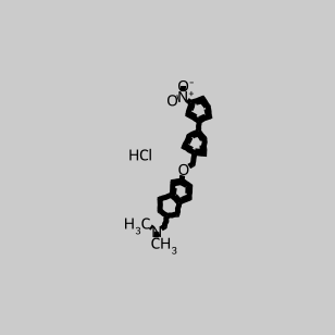 CN(C)CC1CCc2cc(OCc3ccc(-c4cccc([N+](=O)[O-])c4)cc3)ccc2C1.Cl